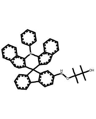 CC(C)(O)C(C)(C)OBc1ccc2c(c1)C1(c3ccccc3-2)c2ccc3ccccc3c2N(c2ccccc2)c2c1ccc1ccccc21